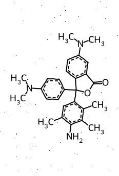 Cc1cc(C2(c3ccc(N(C)C)cc3)OC(=O)c3cc(N(C)C)ccc32)c(C)c(C)c1N